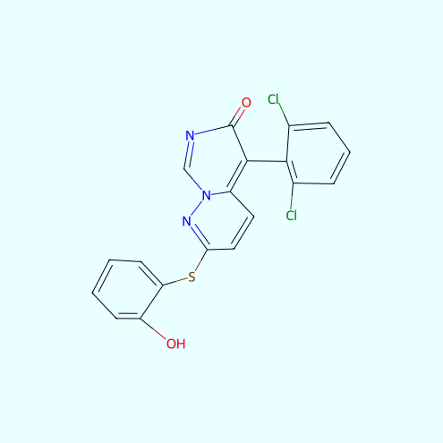 O=c1ncn2nc(Sc3ccccc3O)ccc2c1-c1c(Cl)cccc1Cl